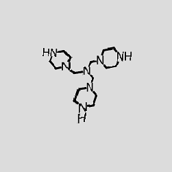 C1CN(CN(CN2CCNCC2)CN2CCNCC2)CCN1